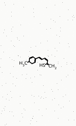 C=C(S)/C=C\C=C\C1=CCC(C)C=C1